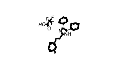 Cc1cccc(CCC2=N[C@H](c3ccccc3)[C@H](c3ccccc3)N2)c1.O=C(O)C(F)(F)F